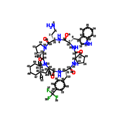 NCC[C@@H]1NC(=O)[C@H](Cc2c[nH]c3ccccc23)NC(=O)C2(CCCC2)NC(=O)[C@H](Cc2ccc(C(F)(F)F)cc2)NC(=O)[C@@H]2C[C@@H]3CCCC[C@@H]3N2C(=O)[C@H]2CCCN2C1=O